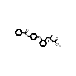 CC(Cc1ccccc1Sc1ccc(OC(=O)c2ccccc2)cc1)NC(=O)C(F)(F)F